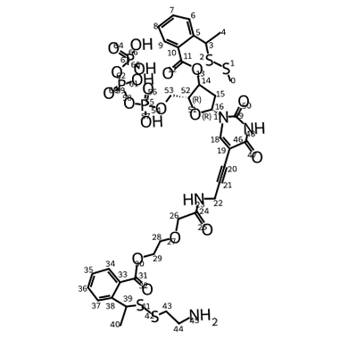 CSSC(C)c1ccccc1C(=O)OC1C[C@H](n2cc(C#CCNC(=O)COCCOC(=O)c3ccccc3C(C)SSCCN)c(=O)[nH]c2=O)O[C@@H]1COP(=O)(O)OP(=O)(O)OP(=O)(O)O